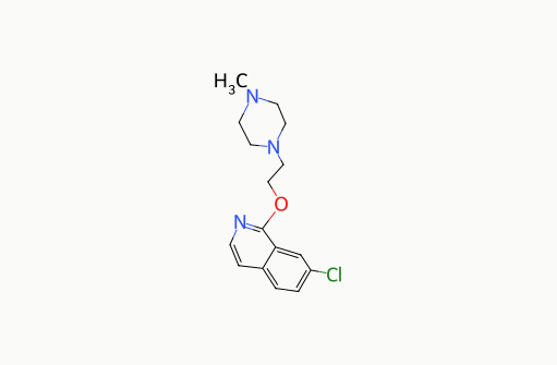 CN1CCN(CCOc2nccc3ccc(Cl)cc23)CC1